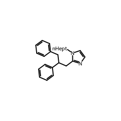 CCCCCCCn1ccnc1CC(Cc1ccccc1)c1ccccc1